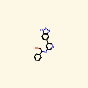 OCC(Nc1cncc(-c2ccc3[nH]nnc3c2)c1)c1ccccc1